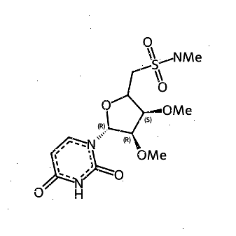 CNS(=O)(=O)CC1O[C@@H](n2ccc(=O)[nH]c2=O)[C@H](OC)[C@@H]1OC